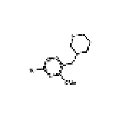 COc1cc(C#N)ccc1OC1CCC[N]C1